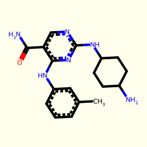 Cc1cccc(Nc2nc(NC3CCC(N)CC3)ncc2C(N)=O)c1